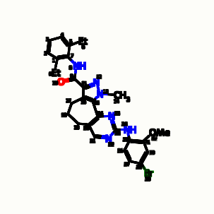 CCc1cccc(CC)c1NC(=O)c1nn(C)c2c1CCCc1cnc(Nc3ccc(Br)cc3OC)nc1-2